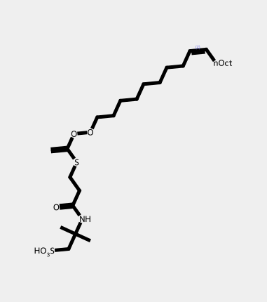 C=C(OOCCCCCCCC/C=C\CCCCCCCC)SCCC(=O)NC(C)(C)CS(=O)(=O)O